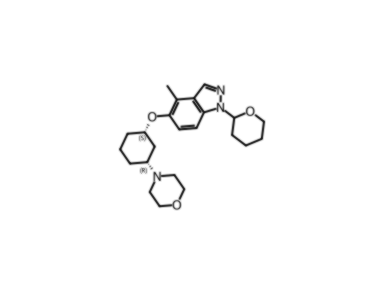 Cc1c(O[C@H]2CCC[C@@H](N3CCOCC3)C2)ccc2c1cnn2C1CCCCO1